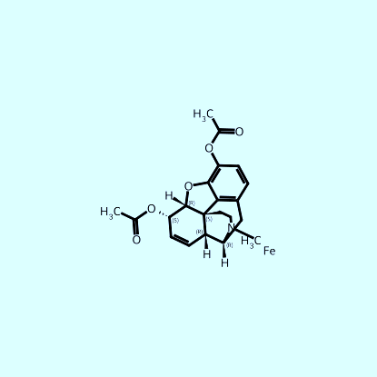 CC(=O)Oc1ccc2c3c1O[C@H]1[C@@H](OC(C)=O)C=C[C@H]4[C@@H](C2)N(C)CC[C@@]341.[Fe]